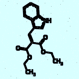 CCOC(=O)C(=Cc1c[nH]c2ccccc12)C(=O)OCC